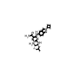 CC(C)C[C@H](Nc1nnc(C(N)=O)c(Nc2ccc3nn(C4CCC4)cc3c2)n1)[C@H](C)N